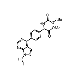 COC(=O)C(NC(=O)OC(C)(C)C)c1ccc(-c2ncnc3c2cnn3PI)cc1